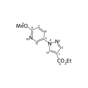 CCOC(=O)c1cnn(-c2ccc(OC)nc2)c1